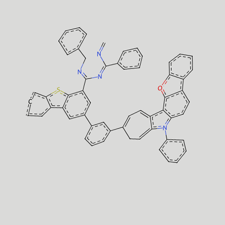 C=N/C(=N\C(=N/Cc1ccccc1)c1cc(-c2cccc(C3=CC=c4c(n(-c5ccccc5)c5ccc6c7ccccc7oc6c45)=CC3)c2)cc2c1sc1ccccc12)c1ccccc1